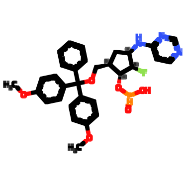 COc1ccc(C(OC[C@H]2C[C@@H](Nc3ccncn3)[C@@H](F)[C@@H]2O[PH](=O)O)(c2ccccc2)c2ccc(OC)cc2)cc1